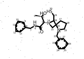 C[C@@H](O)[C@@H](C(=O)NCc1ccccc1)N1CC2(CCCN2Cc2ccccc2)C1CS